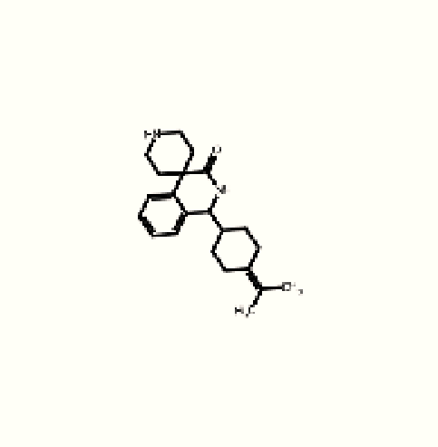 CC(C)=C1CCC(C2NC(=O)C3(CCNCC3)c3ccccc32)CC1